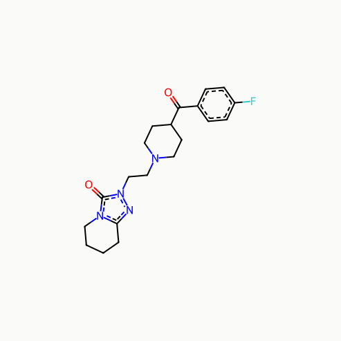 O=C(c1ccc(F)cc1)C1CCN(CCn2nc3n(c2=O)CCCC3)CC1